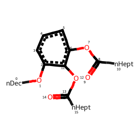 CCCCCCCCCCOc1cccc(OC(=O)CCCCCCC)c1OC(=O)CCCCCCC